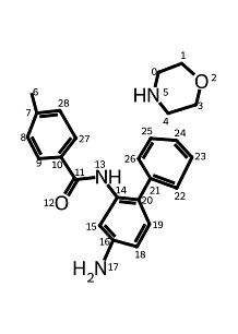 C1COCCN1.Cc1ccc(C(=O)Nc2cc(N)ccc2-c2ccccc2)cc1